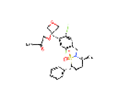 CNC(=O)COC1(c2cc(F)c(CN3[C@@H](C)CC[C@H](c4ccccc4)S3(=O)=O)cc2F)COC1